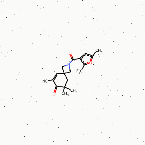 Cc1cc(C(=O)N2CC3(C=C(C#N)C(=O)C(C)(C)C3)C2)c(C(F)(F)F)o1